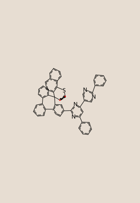 c1ccc(-c2cc(-c3cnc(-c4ccccc4)nc3)nc(-c3ccc4c(c3)C3(c5ccccc5Sc5c3ccc3ccccc53)c3ccccc3-c3ccccc3-4)n2)cc1